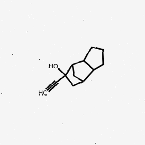 C#CC1(O)CC2CC1C1CCCC21